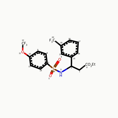 CCOC(=O)CC(NS(=O)(=O)c1ccc(OC(F)(F)F)cc1)c1cccc(C(F)(F)F)c1